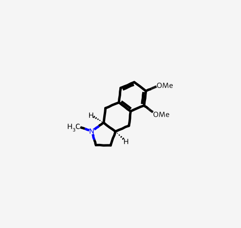 COc1ccc2c(c1OC)C[C@H]1CCN(C)[C@H]1C2